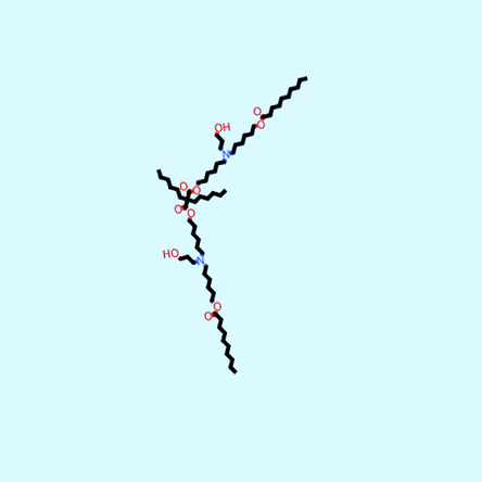 CCCCCCCCCC(=O)OCCCCCCN(CCCO)CCCCCCOC(=O)C(CCCCCC)(CCCCCC)C(=O)OCCCCCCN(CCCO)CCCCCCOC(=O)CCCCCCCCC